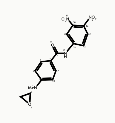 C1CO1.CNc1ccc(C(=O)Nc2ccc([N+](=O)[O-])c([N+](=O)[O-])c2)cc1